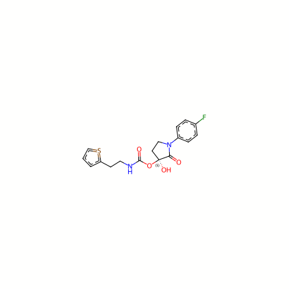 O=C(NCCc1cccs1)O[C@@]1(O)CCN(c2ccc(F)cc2)C1=O